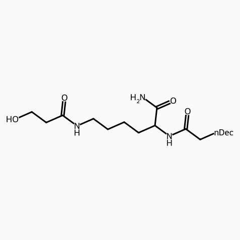 CCCCCCCCCCCC(=O)NC(CCCCNC(=O)CCO)C(N)=O